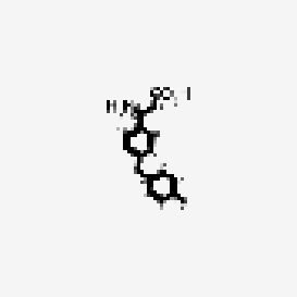 Cc1ccc(Cc2ccc(C(N)CC(=O)O)cc2)cc1